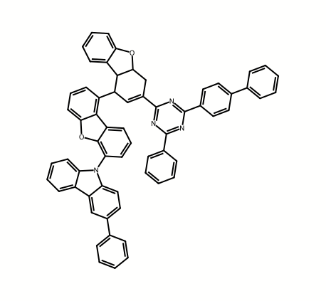 C1=C(c2nc(-c3ccccc3)nc(-c3ccc(-c4ccccc4)cc3)n2)CC2Oc3ccccc3C2C1c1cccc2oc3c(-n4c5ccccc5c5cc(-c6ccccc6)ccc54)cccc3c12